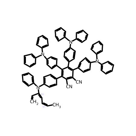 C=C/C(=C\C=C/C)N(c1ccccc1)c1ccc(-c2c(C#N)c(C#N)c(-c3ccc(N(c4ccccc4)c4ccccc4)cc3)c(-c3ccc(N(c4ccccc4)c4ccccc4)cc3)c2-c2ccc(N(c3ccccc3)c3ccccc3)cc2)cc1